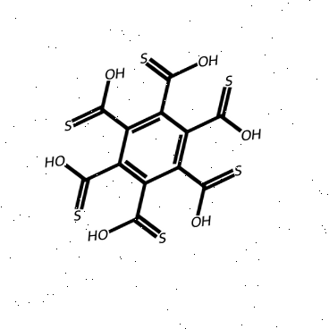 OC(=S)c1c(C(O)=S)c(C(O)=S)c(C(O)=S)c(C(O)=S)c1C(O)=S